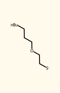 CCCCCCCOCC[S]